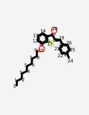 CCCCCCCCCCOc1cccc2c1SC(=Cc1ccc(C)cc1)C2=O